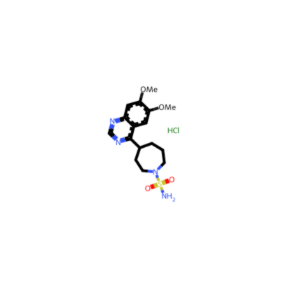 COc1cc2ncnc(C3CCCN(S(N)(=O)=O)CC3)c2cc1OC.Cl